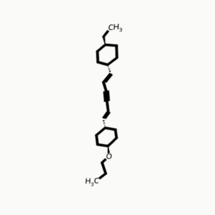 CCCO[C@H]1CC[C@H](/C=C/C#C/C=C/[C@H]2CC[C@H](CC)CC2)CC1